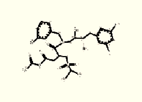 CCCC(CCC)S(=O)(=O)CC(CC(=O)OC(=O)C(F)(F)F)C(=O)N(Cc1cccc(CC)c1)C[C@@H](O)[C@@H](N)Cc1cc(F)cc(F)c1